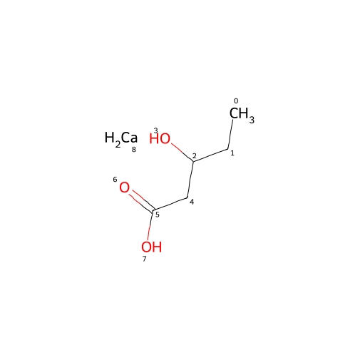 CCC(O)CC(=O)O.[CaH2]